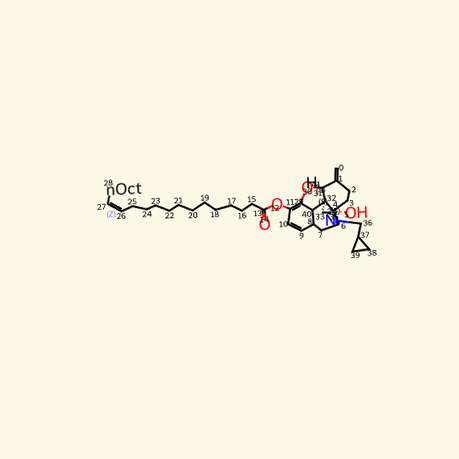 C=C1CC[C@@]2(O)C3CC4C=CC(OC(=O)CCCCCCCCCCC/C=C\CCCCCCCC)=C5O[C@@H]1[C@]2(CCN3CC1CC1)C54